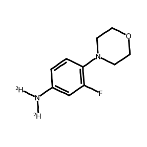 [2H]N([2H])c1ccc(N2CCOCC2)c(F)c1